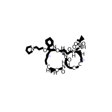 CC1(S(=O)(=O)NC(=O)[C@@]23C[C@H]2/C=C\CCCCC[C@@H]2NC(=O)O[C@@H]4C[C@H]4CCC/C=C/c4c(nc5ccccc5c4OCCCN4CCCCC4)O[C@H]4C[C@H](C(=O)N3)N(C4)C2=O)CC1